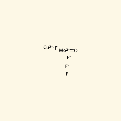 [Cu+2].[F-].[F-].[F-].[F-].[O]=[Mo+2]